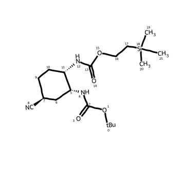 CC(C)(C)OC(=O)N[C@@H]1C[C@@H](C#N)CC[C@@H]1NC(=O)OCC[Si](C)(C)C